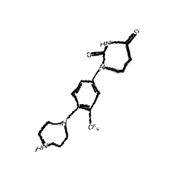 O=C1CCN(c2ccc(N3CCNCC3)c(C(F)(F)F)c2)C(=O)N1